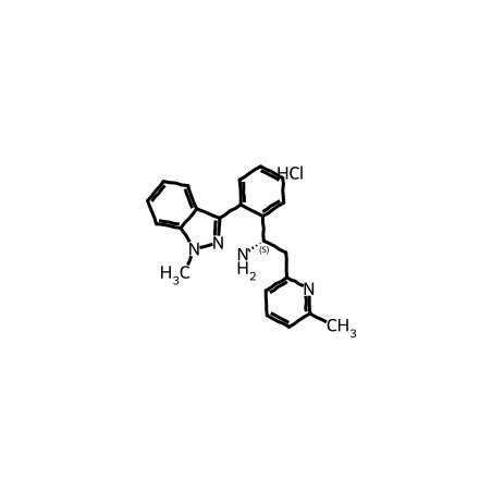 Cc1cccc(C[C@H](N)c2ccccc2-c2nn(C)c3ccccc23)n1.Cl